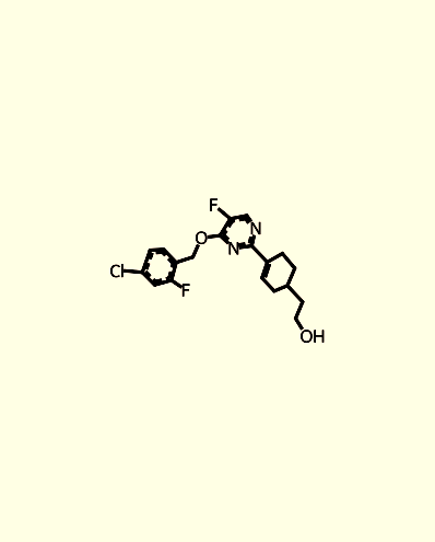 OCCC1CC=C(c2ncc(F)c(OCc3ccc(Cl)cc3F)n2)CC1